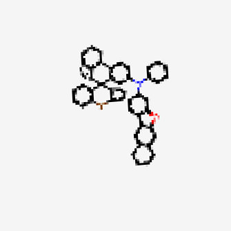 c1ccc(N(c2ccc3c(c2)C2(c4ccccc4Sc4ccccc42)c2cccc4cccc-3c24)c2ccc3c(c2)oc2cc4ccccc4cc23)cc1